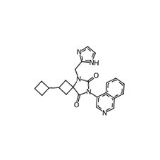 O=C1N(c2cncc3ccccc23)C(=O)C2(CC(C3CCC3)C2)N1Cc1ncc[nH]1